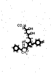 CC(C)c1c(C(=O)N[C@@H](C)c2ccccc2)nn(-c2ccc(F)cc2)c1/C=C/C(O)CC(O)CC(=O)O